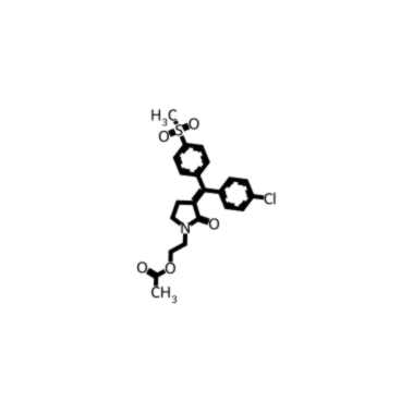 CC(=O)OCCN1CC/C(=C(/c2ccc(Cl)cc2)c2ccc(S(C)(=O)=O)cc2)C1=O